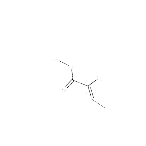 C/C=C(\CC)C(=O)OCCC